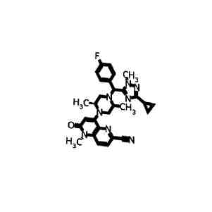 CC1CN(c2cc(=O)n(C)c3ccc(C#N)nc23)[C@@H](C)CN1C(c1ccc(F)cc1)c1nc(C2CC2)nn1C